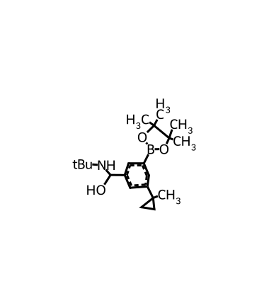 CC(C)(C)NC(O)c1cc(B2OC(C)(C)C(C)(C)O2)cc(C2(C)CC2)c1